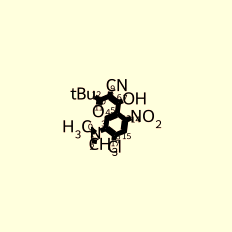 CN(C)c1cc(C(O)=C(C#N)C(=O)C(C)(C)C)c([N+](=O)[O-])cc1Cl